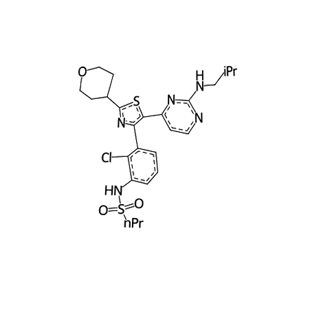 CCCS(=O)(=O)Nc1cccc(-c2nc(C3CCOCC3)sc2-c2ccnc(NCC(C)C)n2)c1Cl